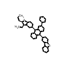 C=Cc1c(/C=C\C)sc2ccc(-c3c4ccccc4c(-c4ccc5sc6ccccc6c5c4)c4ccc(-c5ccccc5)cc34)cc12